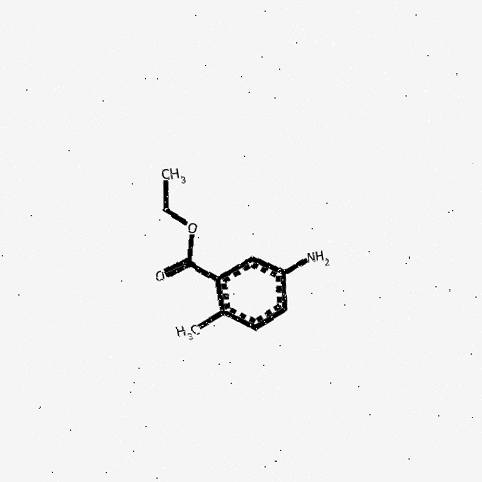 CCOC(=O)c1cc(N)ccc1C